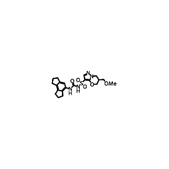 COCC1COc2c(S(=O)(=O)NC(=O)Nc3cc4c(c5c3CCC5)CCC4)cnn2C1